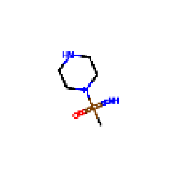 CS(=N)(=O)N1CCNCC1